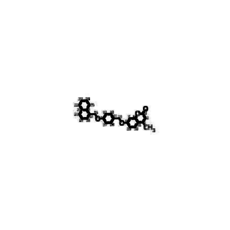 Cc1cc(=O)oc2cc(OCc3ccc(OCc4cccc5ccccc45)cc3)ccc12